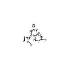 Cc1cnc2c(N3CC[C@@H]3C)nc(Cl)cc2n1